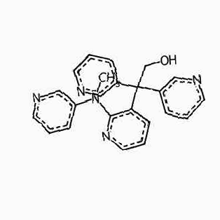 CN(c1cccnc1)c1ncccc1C(CO)(c1cccnc1)c1cccnc1